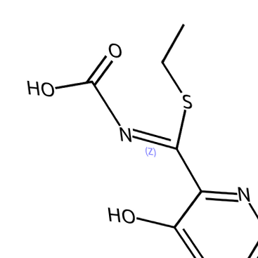 CCS/C(=N\C(=O)O)c1ncccc1O